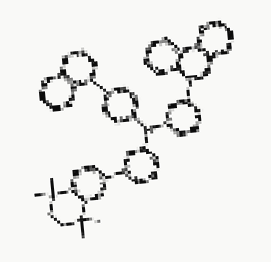 CC1(C)CCC(C)(C)c2cc(-c3cccc(N(c4ccc(-c5cccc6ccccc56)cc4)c4cccc(-c5cc6ccccc6c6ccccc56)c4)c3)ccc21